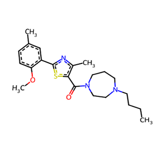 CCCCN1CCCN(C(=O)c2sc(-c3cc(C)ccc3OC)nc2C)CC1